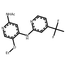 CCOc1cnc(NC(C)=O)cc1Nc1cc(C(C)(F)F)ccn1